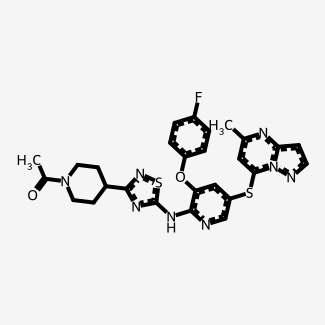 CC(=O)N1CCC(c2nsc(Nc3ncc(Sc4cc(C)nc5ccnn45)cc3Oc3ccc(F)cc3)n2)CC1